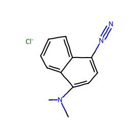 CN(C)c1ccc([N+]#N)c2ccccc12.[Cl-]